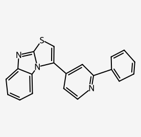 c1ccc(-c2cc(-c3csc4nc5ccccc5n34)ccn2)cc1